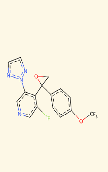 Fc1cncc(-n2nccn2)c1C1(c2ccc(OC(F)(F)F)cc2)CO1